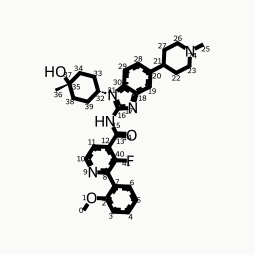 COc1ccccc1-c1nccc(C(=O)Nc2nc3cc(C4CCN(C)CC4)ccc3n2[C@H]2CC[C@@](C)(O)CC2)c1F